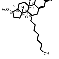 CC(=O)O[C@H]1CC[C@H]2[C@@H]3[C@H](CCCCCCCO)CC4=CC(=O)CC[C@]4(C)[C@H]3CC[C@]12C